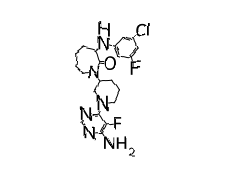 Nc1ncnc(N2CCCC(N3CCCC[C@@H](Nc4cc(F)cc(Cl)c4)C3=O)C2)c1F